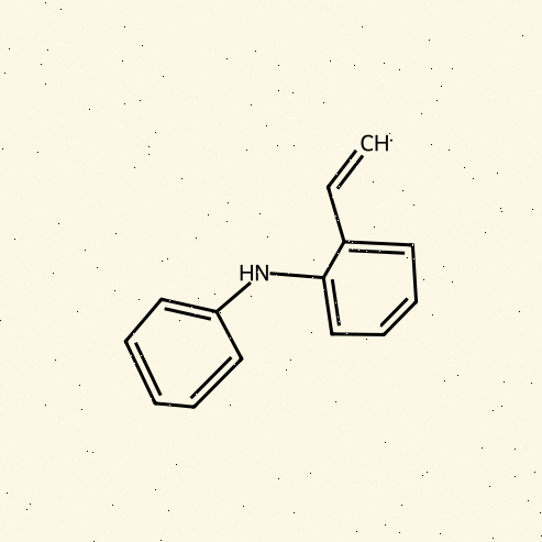 [CH]=Cc1ccccc1Nc1ccccc1